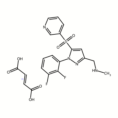 CNCc1cc(S(=O)(=O)c2cccnc2)n(-c2cccc(F)c2F)n1.O=C(O)/C=C/C(=O)O